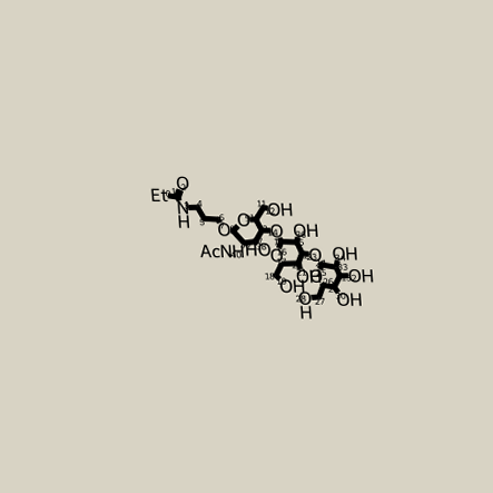 CCC(=O)NCCCOC1OC(CO)C(OC2OC(CO)C(O)C(OC3OC(CO)C(O)C(O)C3O)C2O)C(O)C1NC(C)=O